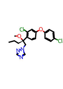 CCC[C@@](Cn1cncn1)(OC)c1ccc(Oc2ccc(Cl)cc2)cc1Cl